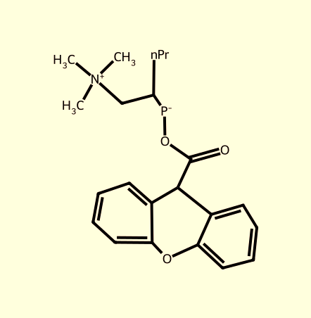 CCCC(C[N+](C)(C)C)[P-]OC(=O)C1c2ccccc2Oc2ccccc21